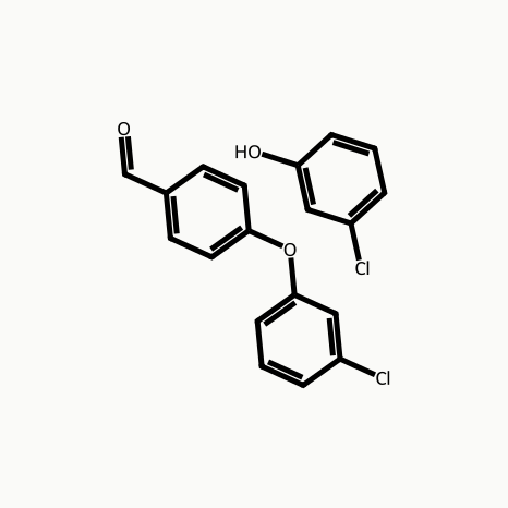 O=Cc1ccc(Oc2cccc(Cl)c2)cc1.Oc1cccc(Cl)c1